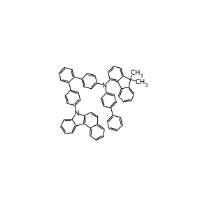 CC1(C)c2ccccc2-c2c(N(c3ccc(-c4ccccc4)cc3)c3ccc(-c4ccccc4-c4ccc(-n5c6ccccc6c6c7ccccc7ccc65)cc4)cc3)cccc21